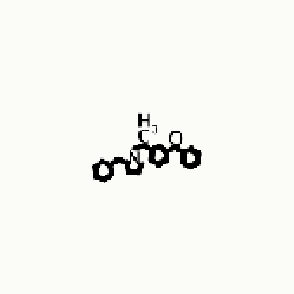 CC(CN1CCCC1CC1CCCCC1)c1cccc(C(=O)c2ccccc2)c1